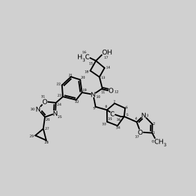 Cc1cnc(C23CCC(CN(C(=O)C4CC(C)(O)C4)c4cccc(-c5nc(C6CC6)no5)c4)(CC2)CC3)o1